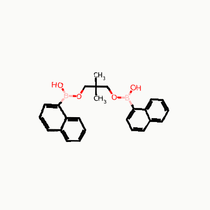 CC(C)(COB(O)c1cccc2ccccc12)COB(O)c1cccc2ccccc12